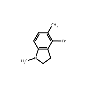 Cc1ccc2c(c1C(C)C)CCN2C